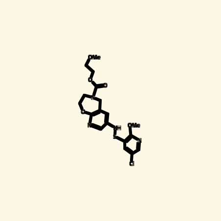 COCCOC(=O)N1CCOc2ncc(NSc3cc(Cl)cnc3OC)cc2C1